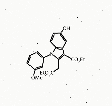 CCOC(=O)Cc1c(C(=O)OCC)c2cc(O)ccc2n1-c1cccc(OC)c1